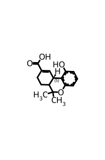 CC1(C)Oc2cccc(O)c2[C@H]2C=C(C(=O)O)CCC21